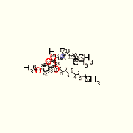 CCCCCCCCCCOc1c(OC/C=C(\C)CCC=C(C)C)c(=O)oc2cc(OC)ccc12